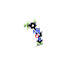 O=C(/C=C\n1cnc(-c2cc(F)cc(C(F)(F)F)c2)n1)N1CC(F)(F)C1